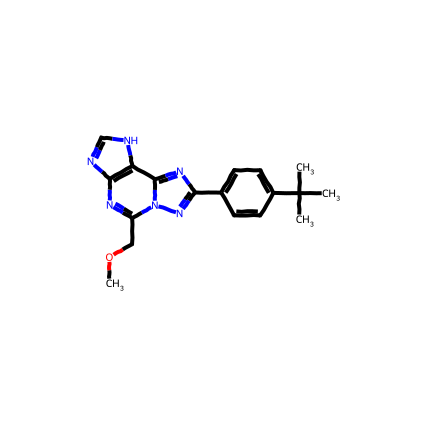 COCc1nc2nc[nH]c2c2nc(-c3ccc(C(C)(C)C)cc3)nn12